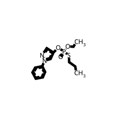 CCCSP(=O)(OCC)Oc1cnn(-c2ccccc2)c1